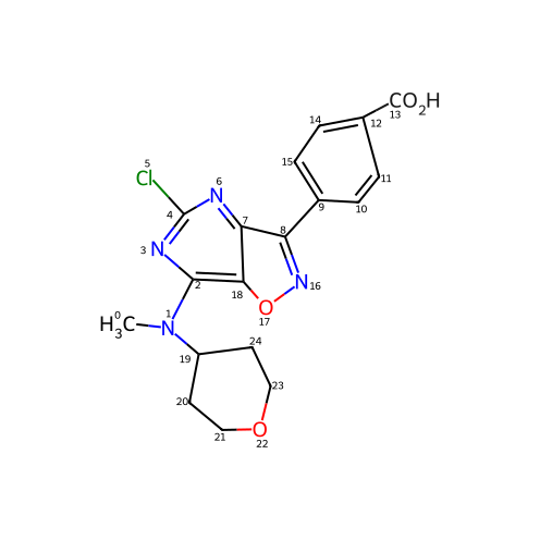 CN(c1nc(Cl)nc2c(-c3ccc(C(=O)O)cc3)noc12)C1CCOCC1